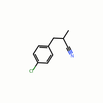 CC(C#N)Cc1ccc(Cl)cc1